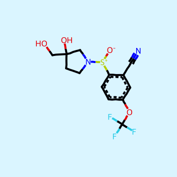 N#Cc1cc(OC(F)(F)F)ccc1[S+]([O-])N1CCC(O)(CO)C1